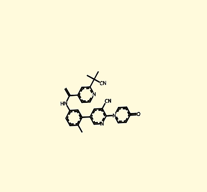 C=C(Nc1ccc(C)c(-c2cnc(-n3ccc(=O)cc3)c(C#N)c2)c1)c1ccnc(C(C)(C)C#N)c1